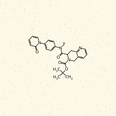 CC(C)(C)OC(=O)N1Cc2cccnc2CC1C(=O)N(F)c1ccc(-n2ccccc2=O)cc1